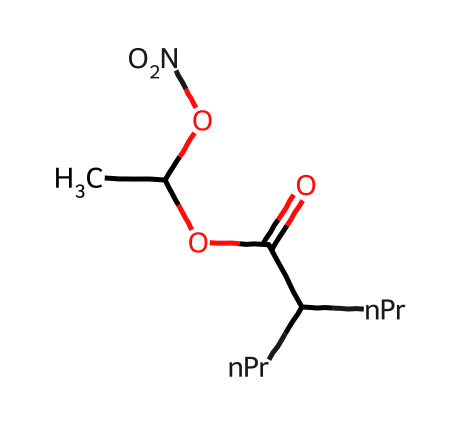 CCCC(CCC)C(=O)OC(C)O[N+](=O)[O-]